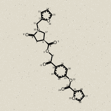 O=C(COC(=O)[C@H]1CC(=O)N(Cc2ccco2)C1)c1ccc(OC(=O)c2ccco2)cc1